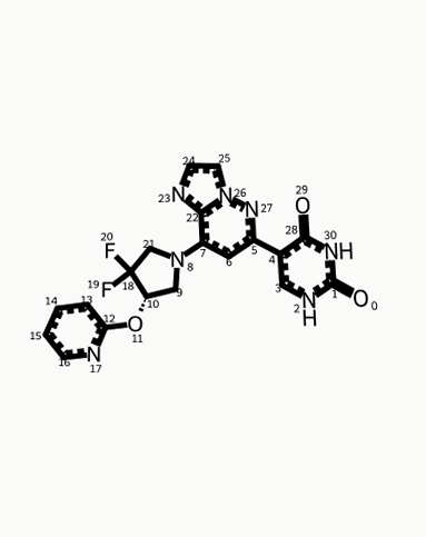 O=c1[nH]cc(-c2cc(N3C[C@H](Oc4ccccn4)C(F)(F)C3)c3nccn3n2)c(=O)[nH]1